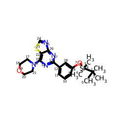 CC(C)(C)[Si](C)(C)Oc1cccc(-c2nc(N3CCOCC3)c3scnc3n2)c1